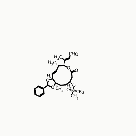 C/C(=C\C=O)[C@H]1OC(=O)C[C@H](O[Si](C)(C)C(C)(C)C)CC[C@@]2(C)OC(c3ccccc3)O[C@H]2/C=C/[C@@H]1C